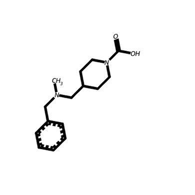 CN(Cc1ccccc1)CC1CCN(C(=O)O)CC1